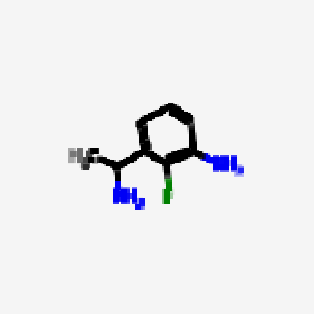 CC(N)c1cccc(N)c1F